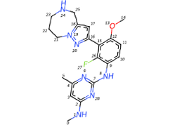 CNc1cc(C)nc(Nc2ccc(OC)c(-c3cc4n(n3)CCCNC4)c2F)n1